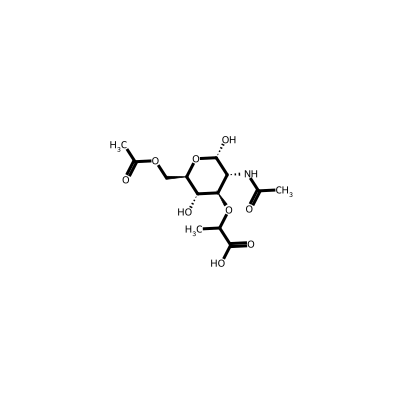 CC(=O)N[C@@H]1[C@@H](OC(C)C(=O)O)[C@H](O)[C@@H](COC(C)=O)O[C@@H]1O